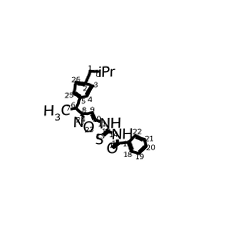 CC(C)Cc1ccc(C(C)c2cc(NC(=S)NC(=O)c3ccccc3)on2)cc1